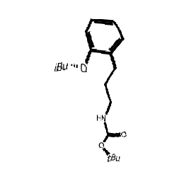 CC[C@@H](C)Oc1ccccc1CCCNC(=O)OC(C)(C)C